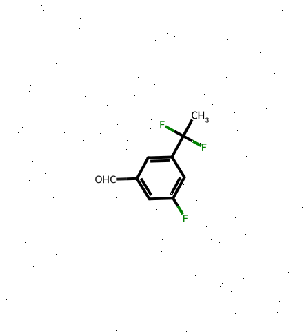 CC(F)(F)c1cc(F)cc(C=O)c1